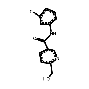 O=C(Nc1cccc(Cl)c1)c1ccc(CO)nc1